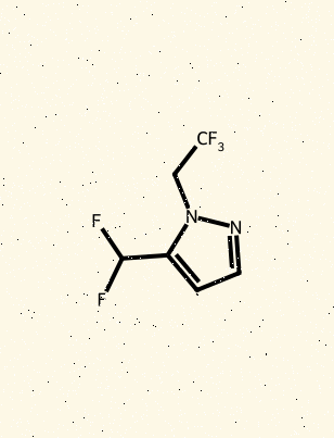 FC(F)c1[c]cnn1CC(F)(F)F